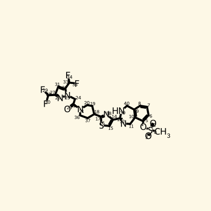 CS(=O)(=O)Oc1cccc2c1CN=C(c1csc(C3CCN(C(=O)Cn4nc(C(F)F)cc4C(F)F)CC3)n1)NC2